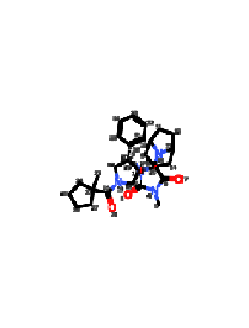 CC(C)N1C(=O)N(C)C(=O)C12CC1CCC(C2)N1C[C@H]1CN(C(=O)C2(C)CCCC2)C[C@@H]1c1ccccc1